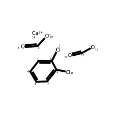 Clc1ccccc1Cl.O=C[O-].O=C[O-].[Ca+2]